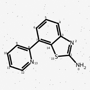 Nc1nc2cccc(-c3ccccn3)c2s1